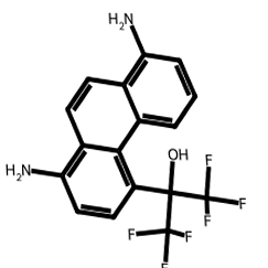 Nc1cccc2c1ccc1c(N)ccc(C(O)(C(F)(F)F)C(F)(F)F)c12